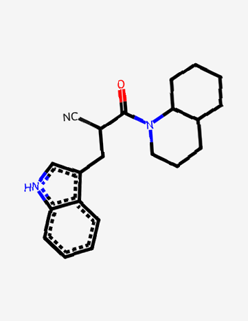 N#CC(Cc1c[nH]c2ccccc12)C(=O)N1CCCC2CCCCC21